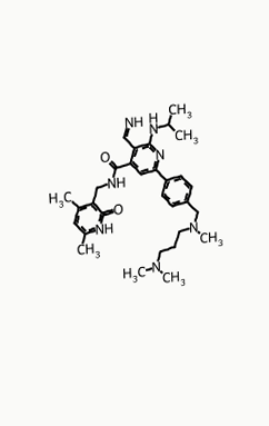 Cc1cc(C)c(CNC(=O)c2cc(-c3ccc(CN(C)CCCN(C)C)cc3)nc(NC(C)C)c2C=N)c(=O)[nH]1